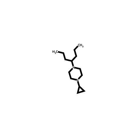 CCCC(CCC)N1CCN(C2CC2)CC1